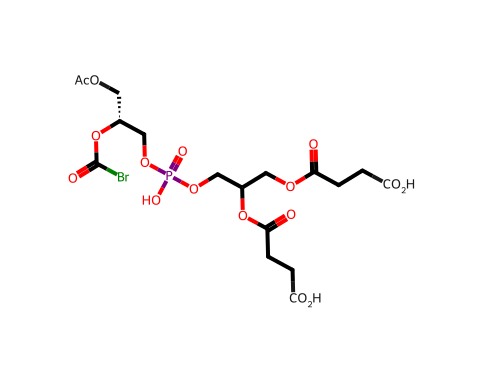 CC(=O)OC[C@H](COP(=O)(O)OCC(COC(=O)CCC(=O)O)OC(=O)CCC(=O)O)OC(=O)Br